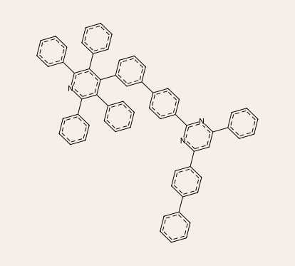 c1ccc(-c2ccc(-c3cc(-c4ccccc4)nc(-c4ccc(-c5cccc(-c6c(-c7ccccc7)c(-c7ccccc7)nc(-c7ccccc7)c6-c6ccccc6)c5)cc4)n3)cc2)cc1